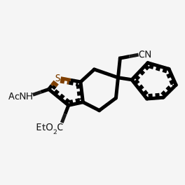 CCOC(=O)c1c(NC(C)=O)sc2c1CCC(CC#N)(c1ccccc1)C2